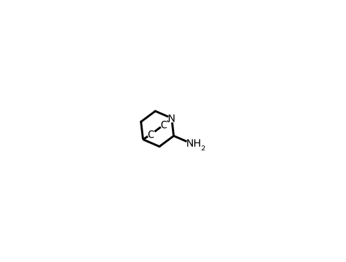 NC1CC2CCN1CC2